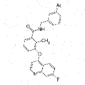 CC(=O)c1cccc(CNC(=O)c2cccc(Oc3ccnc4cc(F)ccc34)c2C)c1